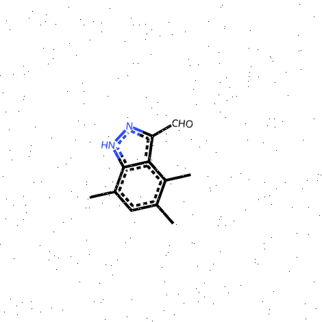 Cc1cc(C)c2[nH]nc(C=O)c2c1C